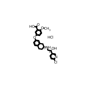 COc1ccc(Oc2ccc3c(c2)C[C@@H](NC[C@H](O)c2ccc(Cl)nc2)CC3)cc1C(=O)O.Cl